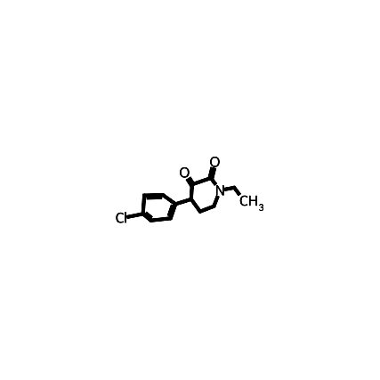 CCN1CCC(c2ccc(Cl)cc2)C(=O)C1=O